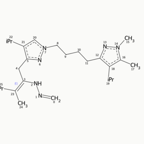 C=NN/C(Cc1nn(CCCCc2nn(C)c(C)c2C(C)C)cc1C(C)C)=C(\C)C(C)C